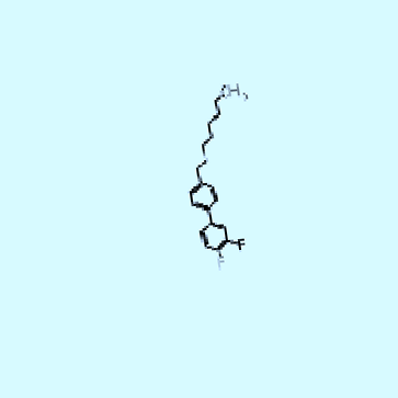 CCCCCCCCc1ccc(-c2ccc(F)c(F)c2)cc1